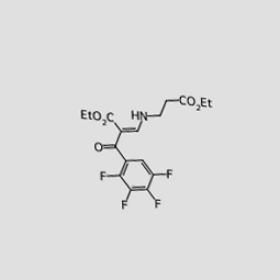 CCOC(=O)CCNC=C(C(=O)OCC)C(=O)c1cc(F)c(F)c(F)c1F